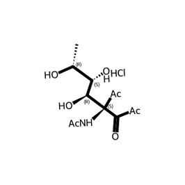 CC(=O)N[C@@](C(C)=O)(C(=O)C(C)=O)[C@@H](O)[C@@H](O)[C@@H](C)O.Cl